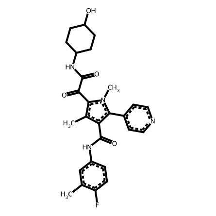 Cc1cc(NC(=O)c2c(C)c(C(=O)C(=O)NC3CCC(O)CC3)n(C)c2-c2ccncc2)ccc1F